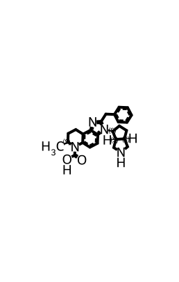 C[C@H]1CCc2c(ccc3c2nc(Cc2ccccc2)n3[C@H]2CC[C@H]3CNC[C@H]32)N1C(=O)O